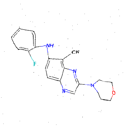 N#Cc1c(Nc2c[c]ccc2F)ccc2ncc(N3CCOCC3)nc12